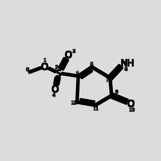 COS(=O)(=O)C1=CC(=N)C(=O)C=C1